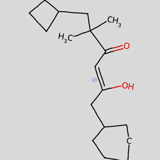 CC(C)(CC1CCC1)C(=O)/C=C(\O)CC1CCCCC1